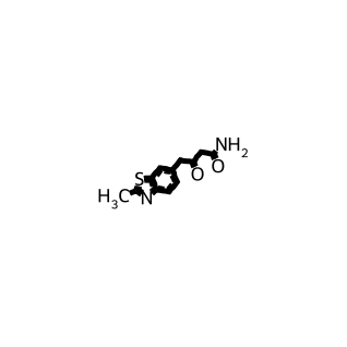 Cc1nc2ccc(CC(=O)CC(N)=O)cc2s1